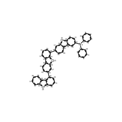 c1ccc(N(c2ccccc2)c2ccc3oc4cc(-c5cccc6c5oc5cc(-c7cccc8oc9ccccc9c78)ccc56)ccc4c3c2)cc1